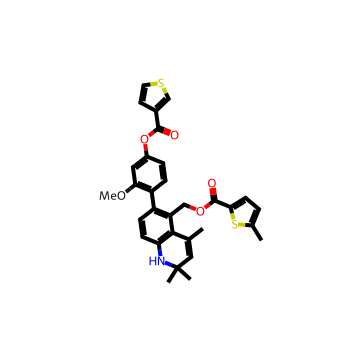 COc1cc(OC(=O)c2ccsc2)ccc1-c1ccc2c(c1COC(=O)c1ccc(C)s1)C(C)=CC(C)(C)N2